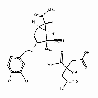 N#C[C@@]1(N)[C@H]2[C@@H](C[C@H]1OCc1ccc(Cl)c(Cl)c1)[C@]2(F)C(N)=O.O=C(O)CC(O)(CC(=O)O)C(=O)O